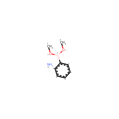 COB(OC)c1ccccc1.N